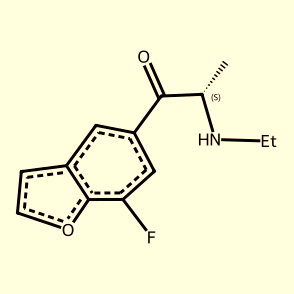 CCN[C@@H](C)C(=O)c1cc(F)c2occc2c1